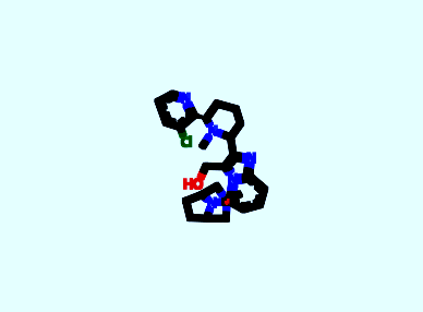 CN1CC2CCC(C1)N2c1cccc2nc(C3CCC[C@@H](c4ncccc4Cl)N3C)c(CO)n12